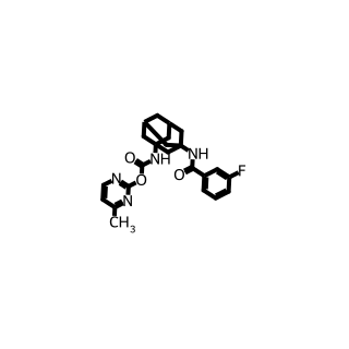 Cc1ccnc(OC(=O)NC23CC4CC(C2)CC(NC(=O)c2cccc(F)c2)(C4)C3)n1